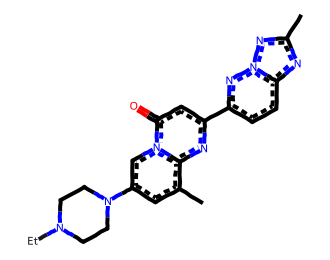 CCN1CCN(c2cc(C)c3nc(-c4ccc5nc(C)nn5n4)cc(=O)n3c2)CC1